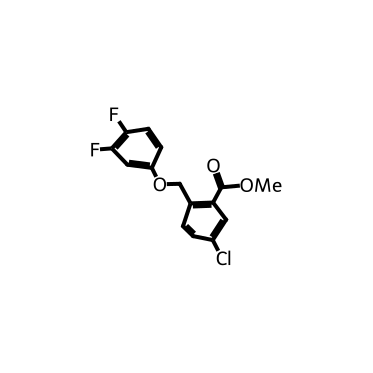 COC(=O)c1cc(Cl)ccc1COc1ccc(F)c(F)c1